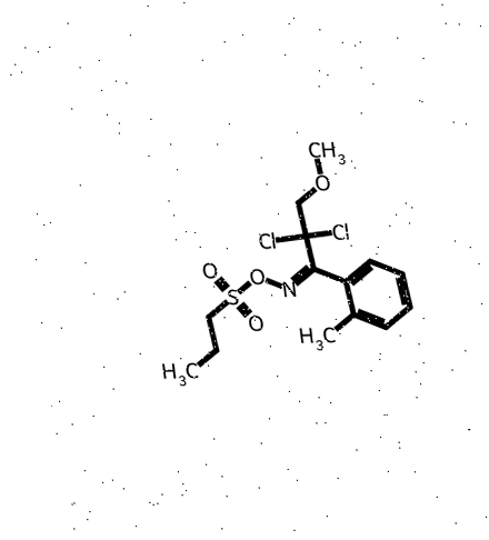 CCCS(=O)(=O)ON=C(c1ccccc1C)C(Cl)(Cl)COC